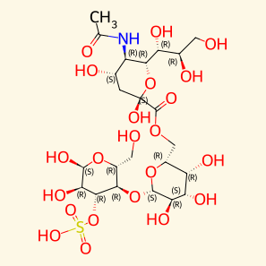 CC(=O)N[C@H]1[C@H]([C@H](O)[C@H](O)CO)O[C@](O)(C(=O)OC[C@H]2O[C@@H](O[C@H]3[C@H](OS(=O)(=O)O)[C@@H](O)[C@@H](O)O[C@@H]3CO)[C@H](O)[C@@H](O)[C@H]2O)C[C@@H]1O